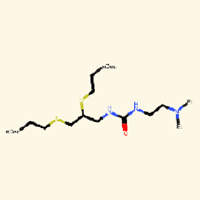 CCCCCCCCCCCCSCC(CNC(=O)NCCN(CC)CC)SCCCCCCCCCCCC